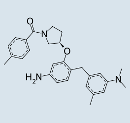 Cc1ccc(C(=O)N2CC[C@@H](Oc3cc(N)ccc3Cc3cc(C)cc(N(C)C)c3)C2)cc1